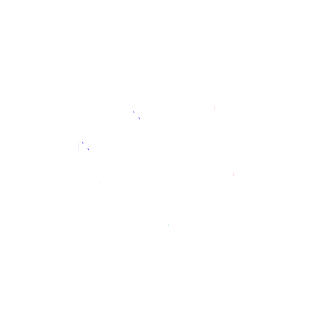 Cc1nc(C(=O)O)c(Cl)c(=S)[nH]1